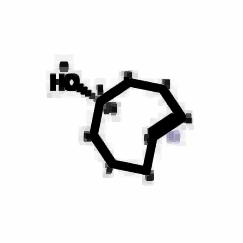 O[C@@H]1CC/C=C/CCC1